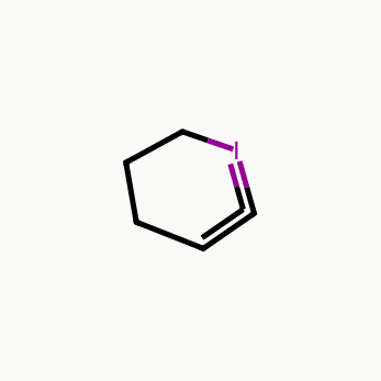 C1=CCCCI=1